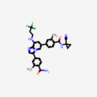 Cc1cc(-c2cnc3c(NCCC(F)(F)F)cc(-c4ccc(C(=O)NC5(C#N)CC5)c(C)c4)cn23)ccc1C(N)=O